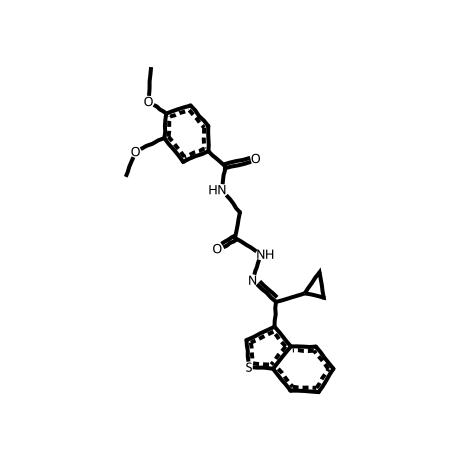 COc1ccc(C(=O)NCC(=O)N/N=C(/c2csc3ccccc23)C2CC2)cc1OC